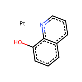 Oc1cccc2cccnc12.[Pt]